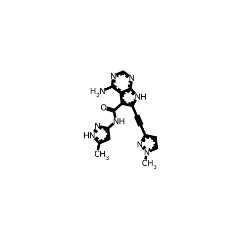 Cc1cc(NC(=O)c2c(C#Cc3ccn(C)n3)[nH]c3ncnc(N)c23)n[nH]1